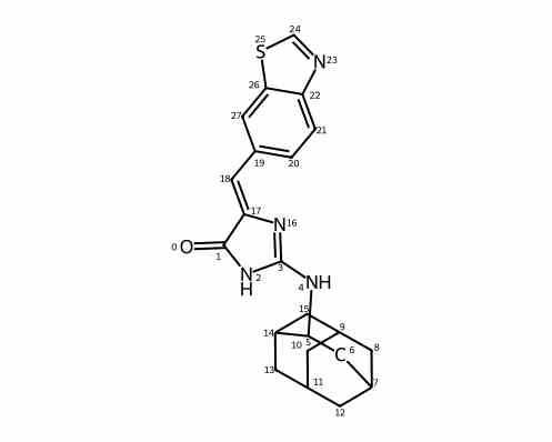 O=C1NC(NC2CC3CC4CC(C3)CC2C4)=N/C1=C\c1ccc2ncsc2c1